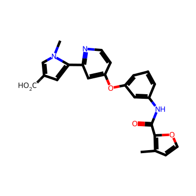 Cc1ccoc1C(=O)Nc1cccc(Oc2ccnc(-c3cc(C(=O)O)cn3C)c2)c1